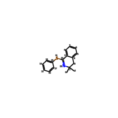 CC1(C)Cc2ccccc2C(Sc2ccccc2)=N1